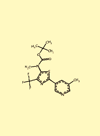 Cc1cncc(-c2nc(C(F)(F)F)c(N(C)C(=O)OC(C)(C)C)s2)c1